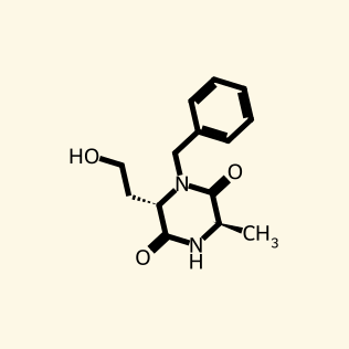 C[C@H]1NC(=O)[C@H](CCO)N(Cc2ccccc2)C1=O